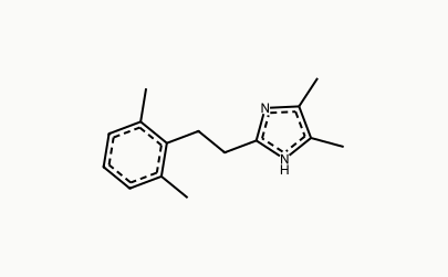 Cc1cccc(C)c1CCc1nc(C)c(C)[nH]1